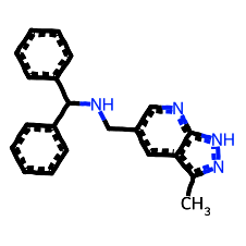 Cc1n[nH]c2ncc(CNC(c3ccccc3)c3ccccc3)cc12